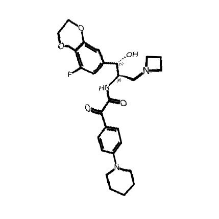 O=C(N[C@H](CN1CCC1)[C@@H](O)c1cc(F)c2c(c1)OCCO2)C(=O)c1ccc(N2CCCCC2)cc1